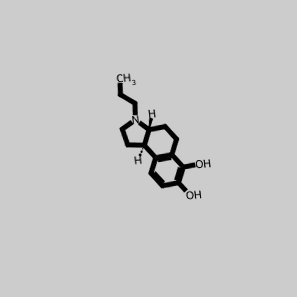 CCCN1CC[C@@H]2c3ccc(O)c(O)c3CC[C@H]21